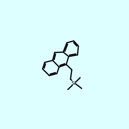 C[Si](C)(C)CCc1c2ccccc2cc2ccccc12